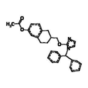 CC(=O)Oc1ccc2c(c1)CCC(COc1nccn1C(c1ccccc1)c1ccccc1)C2